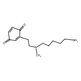 CN(CCCCCN)CCC1=CC(=O)C=CC1=O